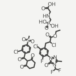 CCOC(=O)C(Cl)Cc1cc(-n2nc(C)n(C(F)F)c2=O)c(F)cc1Cl.CS(=O)(=O)c1ccc(C(=O)C2C(=O)CCCC2=O)c(Cl)c1.O=C(O)CNCP(=O)(O)O